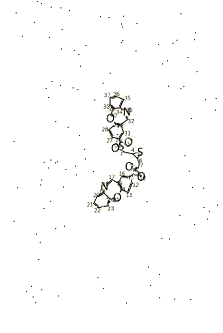 O=S(=O)(CC1SC1CS(=O)(=O)c1ccc2c(c1)C=Nc1ccccc1O2)c1ccc2c(c1)C=Nc1ccccc1O2